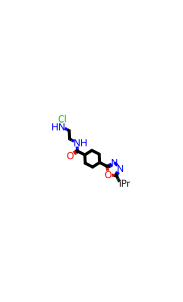 CC(C)c1nnc(C2CCC(C(=O)NCCNCl)CC2)o1